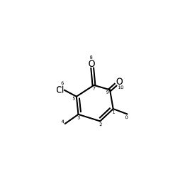 CC1=CC(C)=C(Cl)C(=O)C1=O